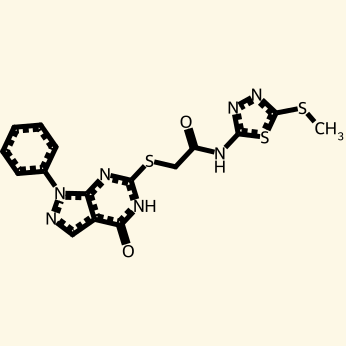 CSc1nnc(NC(=O)CSc2nc3c(cnn3-c3ccccc3)c(=O)[nH]2)s1